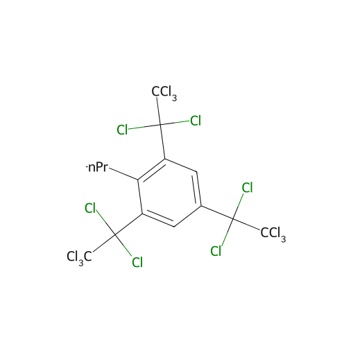 CC[CH]c1c(C(Cl)(Cl)C(Cl)(Cl)Cl)cc(C(Cl)(Cl)C(Cl)(Cl)Cl)cc1C(Cl)(Cl)C(Cl)(Cl)Cl